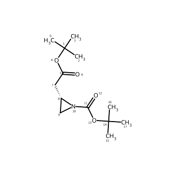 CC(C)(C)OC(=O)C[C@H]1CN1C(=O)OC(C)(C)C